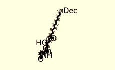 CCCCCCCCCCC=CCCCCCCCCCC(=O)OCC(O)COC(=O)C1CCC(=O)N1